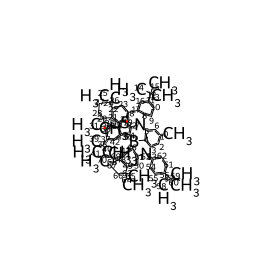 Cc1cc2c3c(c1)N(c1ccc(C(C)(C)C)cc1-c1ccc4c(c1)C(C)(C)CCC4(C)C)c1sc4ccc(C(C)(C)C)cc4c1B3c1cc3c(cc1N2c1ccc(C(C)(C)C)cc1)C(C)(C)CCC3(C)C